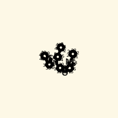 c1ccc(-c2ccc(N(c3ccc4oc5ccc6sc(-c7ccccc7)nc6c5c4c3)c3cccc4c3sc3ccccc34)cc2)cc1